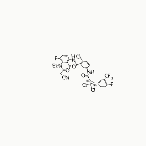 CCN(C(=O)CC#N)c1c(F)ccc(NC(=O)c2cc(NC(=O)[C@H]3[C@H](c4ccc(F)c(C(F)(F)F)c4)C3(Cl)Cl)ccc2Cl)c1F